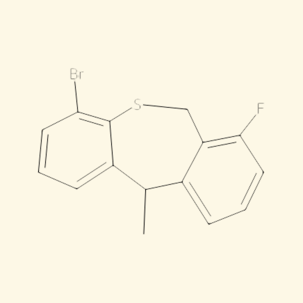 CC1c2cccc(F)c2CSc2c(Br)cccc21